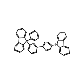 c1ccc(C2(c3cccc(-c4ccc(-n5c6ccccc6c6ccccc65)cc4)c3)c3ccccc3-c3ccccc32)cc1